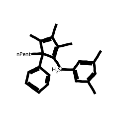 CCCCCC1(c2ccccc2)C(C)=C(C)C(C)=C1[SiH2]c1cc(C)cc(C)c1